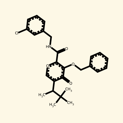 CC(c1coc(C(=O)NCc2cccc(Cl)c2)c(OCc2ccccc2)c1=O)C(C)(C)C